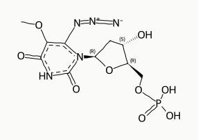 COc1c(N=[N+]=[N-])n([C@H]2C[C@H](O)[C@@H](COP(=O)(O)O)O2)c(=O)[nH]c1=O